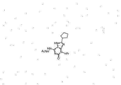 CCCn1c(=O)nc(NNC(C)=O)c2[nH]c(C3CCCC3)nc21